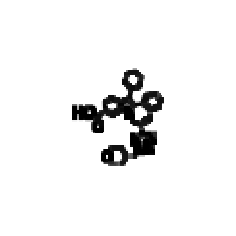 O=C(O)c1ccc2c(C3CCCCC3)c3n(c2c1)CC(c1nnn(CC2CCOCC2)n1)=Cc1ccccc1-3